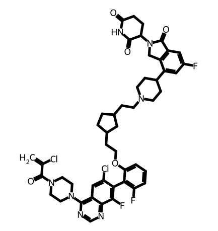 C=C(Cl)C(=O)N1CCN(c2ncnc3c(F)c(-c4c(F)cccc4OCCC4CCC(CCN5CCC(c6cc(F)cc7c6CN(C6CCC(=O)NC6=O)C7=O)CC5)C4)c(Cl)cc23)CC1